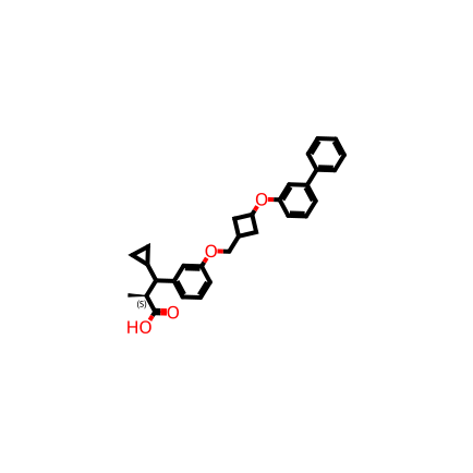 C[C@H](C(=O)O)C(c1cccc(OCC2CC(Oc3cccc(-c4ccccc4)c3)C2)c1)C1CC1